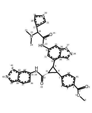 COC(=O)c1ccc(C2C(c3cc(NC(=O)C(c4ccsc4)N(C)C)cc4sncc34)[C@H]2C(=O)Nc2ccc3cnsc3c2)cc1